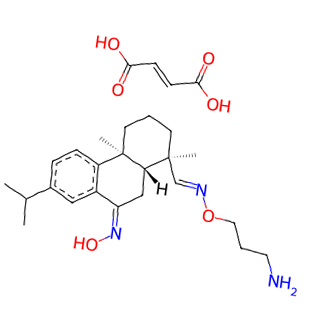 CC(C)c1ccc2c(c1)/C(=N\O)C[C@H]1[C@](C)(/C=N/OCCCN)CCC[C@]21C.O=C(O)/C=C/C(=O)O